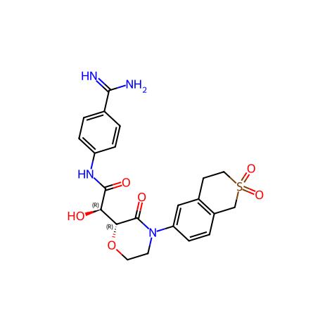 N=C(N)c1ccc(NC(=O)[C@H](O)[C@H]2OCCN(c3ccc4c(c3)CCS(=O)(=O)C4)C2=O)cc1